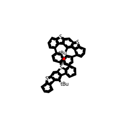 CC(C)(C)c1c2c(cc3sc4ccccc4c13)[SH](c1ccc(-c3cccc4sc5cc6sc7cccc(-c8ccccc8)c7c6c(C(C)(C)C)c5c34)cc1)c1ccccc1-2